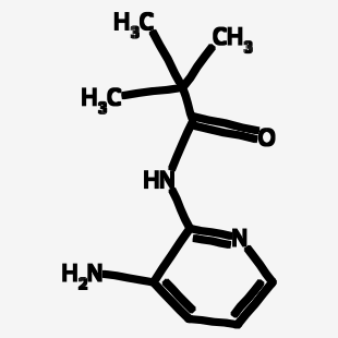 CC(C)(C)C(=O)Nc1ncccc1N